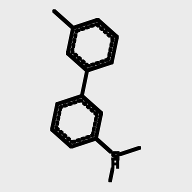 Cc1cccc(-c2cccc([SiH](C)C)c2)c1